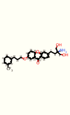 NC(CO)(CO)CCc1ccc2c(=O)c3cc(OCCCc4cccc(C(F)(F)F)c4)ccc3oc2c1